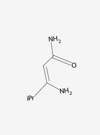 CC(C)/C(N)=C/C(N)=O